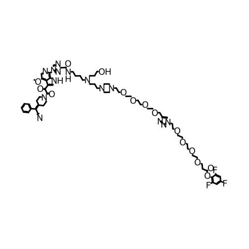 COc1cnc(-n2cnc(C(=O)NCCCCN(CCCO)CCCN3CCN(CCOCCOCCOCCOCc4cn(CCOCCOCCOCCOCCC(=O)Oc5c(F)cc(F)cc5F)nn4)CC3)n2)c2[nH]cc(C(=O)C(=O)N3CCC(=C(C#N)c4ccccc4)CC3)c12